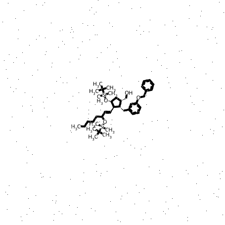 CCCCCC(/C=C/[C@@H]1[C@@H](Cc2cccc(OCc3ccccc3)c2)[C@@H](CO)C[C@H]1O[Si](C)(C)C(C)(C)C)O[Si](C)(C)C(C)(C)C